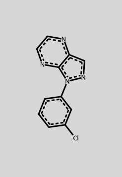 Clc1cccc(-n2ncc3nccnc32)c1